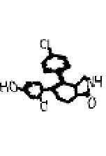 O=C1NCC2C1CCC(c1ccc(O)cc1Cl)C2c1ccc(Cl)cc1